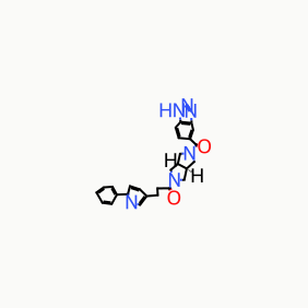 O=C(CCc1ccc(-c2ccccc2)nc1)N1C[C@@H]2CN(C(=O)c3ccc4[nH]nnc4c3)C[C@H]2C1